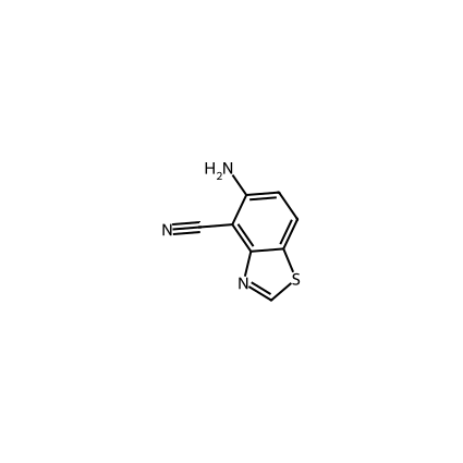 N#Cc1c(N)ccc2scnc12